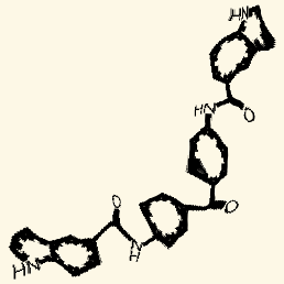 O=C(Nc1ccc(C(=O)c2ccc(NC(=O)c3ccc4[nH]ccc4c3)cc2)cc1)c1ccc2[nH]ccc2c1